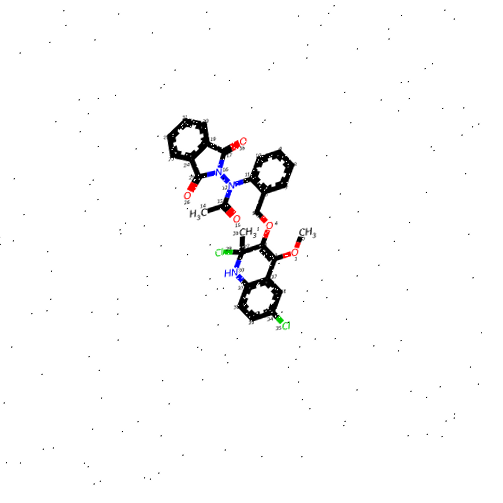 COC1=C(OCc2ccccc2N(C(C)=O)N2C(=O)c3ccccc3C2=O)C(C)(Cl)Nc2ccc(Cl)cc21